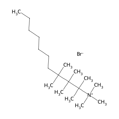 CCCCCCCC(C)(C)C(C)(C)C(C)(C)[N+](C)(C)C.[Br-]